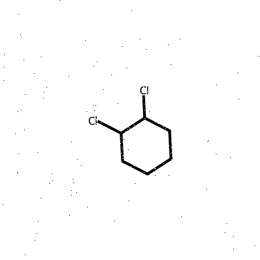 ClC1CCCCC1Cl